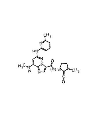 CNc1cc(Nc2cccc(C)n2)nn2c(C(=O)N[C@@H]3CCN(C)C3=C=O)cnc12